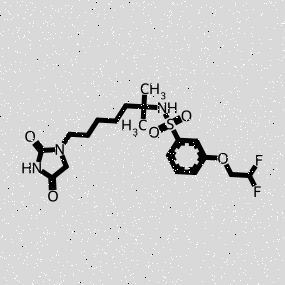 CC(C)(CCCCCN1CC(=O)NC1=O)NS(=O)(=O)c1cccc(OCC(F)F)c1